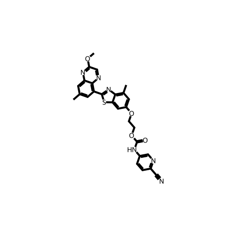 COc1cnc2c(-c3nc4c(C)cc(OCCOC(=O)Nc5ccc(C#N)nc5)cc4s3)cc(C)cc2n1